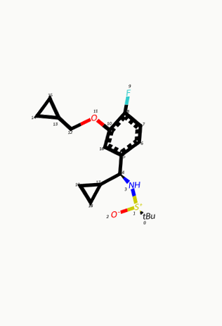 CC(C)(C)[S@+]([O-])N[C@H](c1ccc(F)c(OCC2CC2)c1)C1CC1